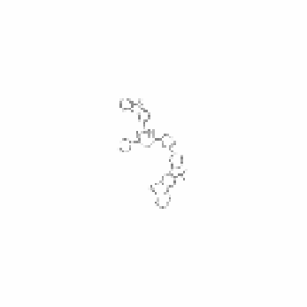 CC1(C)c2cc3c(cc2C2CC(C4=CCCC(C5CCC(C6C=CC=CC6)=NC(c6ccc7sc8ccccc8c7c6)=N5)=C4)C=CC21)C1CC1C1C=CC=CC31